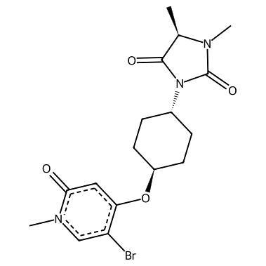 C[C@@H]1C(=O)N([C@H]2CC[C@H](Oc3cc(=O)n(C)cc3Br)CC2)C(=O)N1C